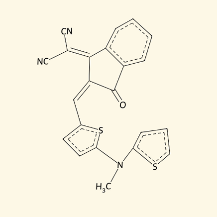 CN(c1cccs1)c1ccc(/C=C2\C(=O)c3ccccc3C2=C(C#N)C#N)s1